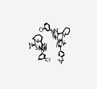 C/N=C(\SC)N1CCCCC1c1nnn(-c2cccc(Cl)c2)n1.CN(C)Cc1ccc(-c2nnc(N3CCCCC3c3nnn(-c4cccc(Cl)c4)n3)n2C)cc1